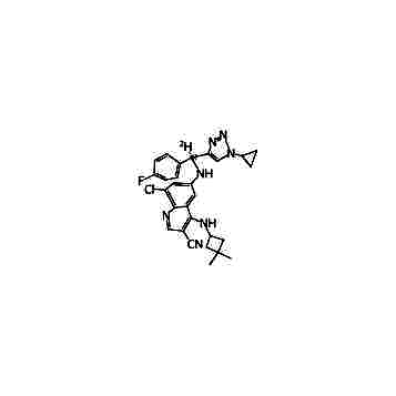 [2H][C@](Nc1cc(Cl)c2ncc(C#N)c(NC3CC(C)(C)C3)c2c1)(c1ccc(F)cc1)c1cn(C2CC2)nn1